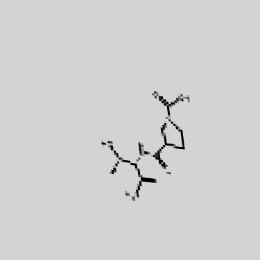 C[C@@H](O)[C@H](NC(=O)[C@@H]1CCN(C(=O)O)C1)C(N)=O